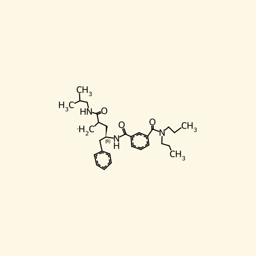 [CH2]C(C[C@H](Cc1ccccc1)NC(=O)c1cccc(C(=O)N(CCC)CCC)c1)C(=O)NCC(C)C